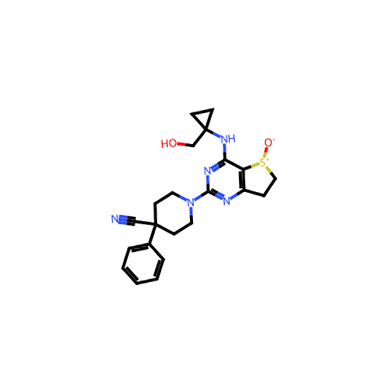 N#CC1(c2ccccc2)CCN(c2nc3c(c(NC4(CO)CC4)n2)[S+]([O-])CC3)CC1